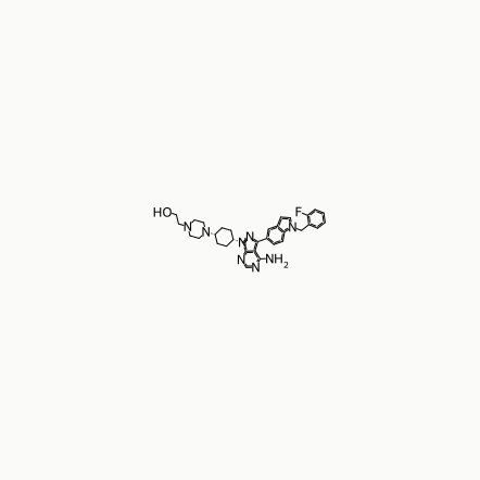 Nc1ncnc2c1c(-c1ccc3c(ccn3Cc3ccccc3F)c1)nn2[C@H]1CC[C@@H](N2CCN(CCO)CC2)CC1